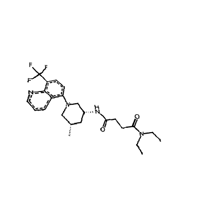 CCN(CC)C(=O)CCC(=O)N[C@@H]1C[C@H](C)CN(c2ccc(C(F)(F)F)c3ncccc23)C1